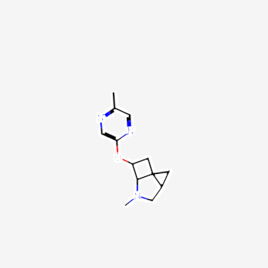 Cc1cnc(OC2CC34CC3CN(C)C24)cn1